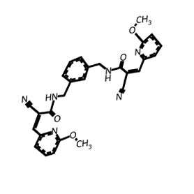 COc1cccc(/C=C(/C#N)C(=O)NCc2cccc(CNC(=O)/C(C#N)=C\c3cccc(OC)n3)c2)n1